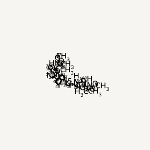 COC(=O)N[C@H](C(=O)N1CCCC1c1ncc(-c2ccc(-c3cccc4c(-c5cnc(C6CCCN6C(=O)[C@@H](NC(=O)OC)C(C)C)[nH]5)cccc34)s2)[nH]1)C(C)C